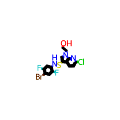 OCCn1cc(SNc2cc(F)c(Br)cc2F)c2ccc(Cl)nc21